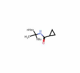 CCCCCCC(C)(CCCC)NC(=O)C1CC1